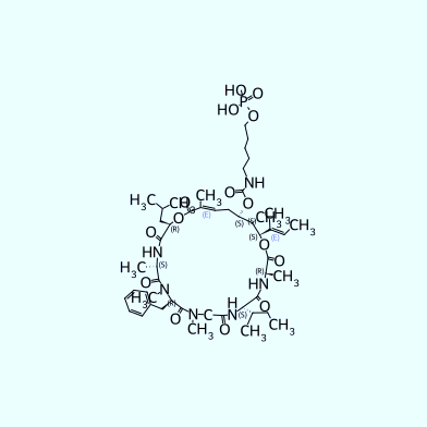 C/C=C(\C)[C@H]1OC(=O)[C@@H](C)NC(=O)[C@H](C(C)CC)NC(=O)CN(C)C(=O)[C@@H](Cc2ccccc2)N(C)C(=O)[C@H](C)NC(=O)[C@@H](CC(C)C)OC(=O)/C(C)=C/C[C@H](OC(=O)NCCCCCOP(=O)(O)O)[C@@H]1C